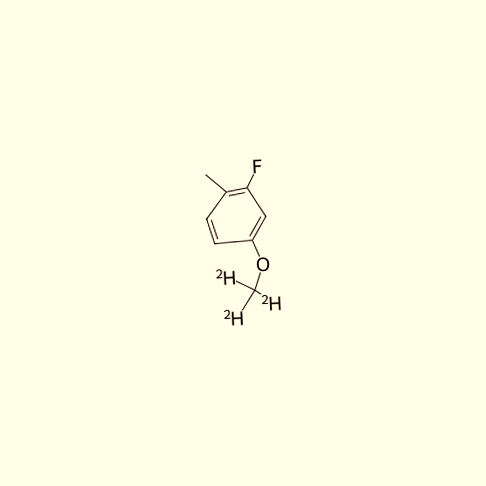 [2H]C([2H])([2H])Oc1ccc(C)c(F)c1